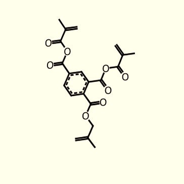 C=C(C)COC(=O)c1ccc(C(=O)OC(=O)C(=C)C)cc1C(=O)OC(=O)C(=C)C